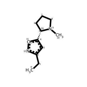 CCc1cc([C@@H]2CCCN2C)on1